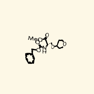 COC(=O)[C@H](COC1CCOCC1)NC(=O)OCc1ccccc1